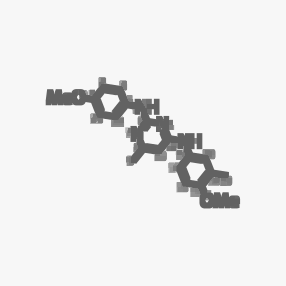 COc1ccc(Nc2nc(C)cc(Nc3ccc(OC)c(C)c3)n2)cc1